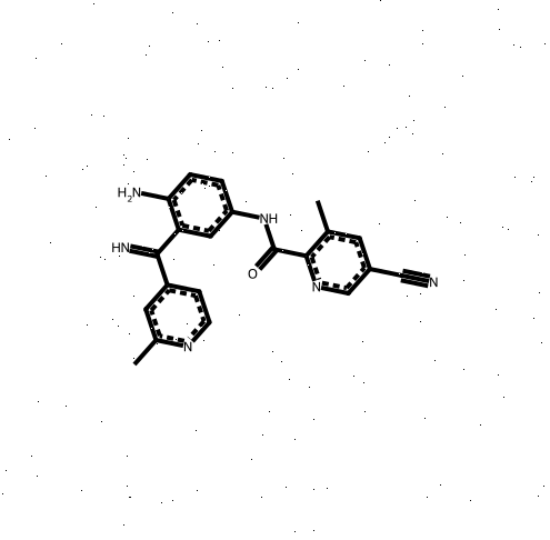 Cc1cc(C(=N)c2cc(NC(=O)c3ncc(C#N)cc3C)ccc2N)ccn1